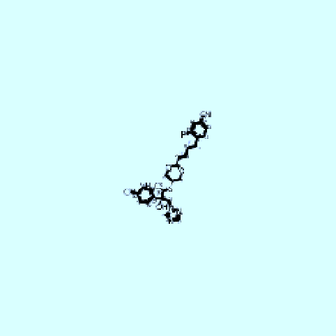 C[C@@H](S[C@H]1CO[C@H](/C=C/C=C/c2ccc(C#N)cc2F)OC1)[C@](O)(Cn1cncn1)c1ccc(Cl)cc1